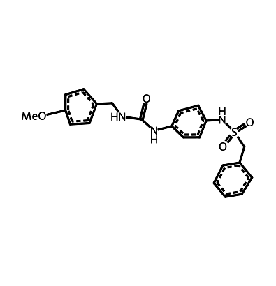 COc1ccc(CNC(=O)Nc2ccc(NS(=O)(=O)Cc3ccccc3)cc2)cc1